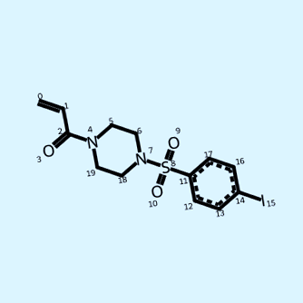 C=CC(=O)N1CCN(S(=O)(=O)c2ccc(I)cc2)CC1